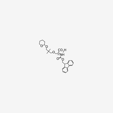 CC(C)(COC[C@H](NC(=O)OCC1c2ccccc2-c2ccccc21)C(=O)O)COC1CCCCO1